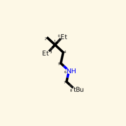 CCC(C)(CC)CCNCC(C)(C)C